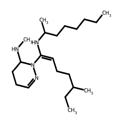 CCCCCCC(C)N/C(=C/CCC(C)CC)N1N=CCCC1NC